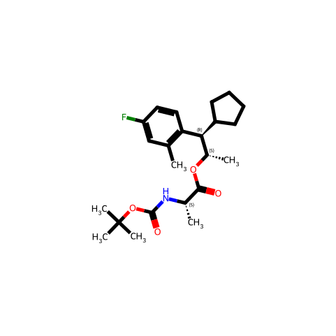 Cc1cc(F)ccc1[C@@H](C1CCCC1)[C@H](C)OC(=O)[C@H](C)NC(=O)OC(C)(C)C